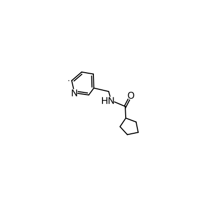 O=C(NCc1cc[c]nc1)C1CCCC1